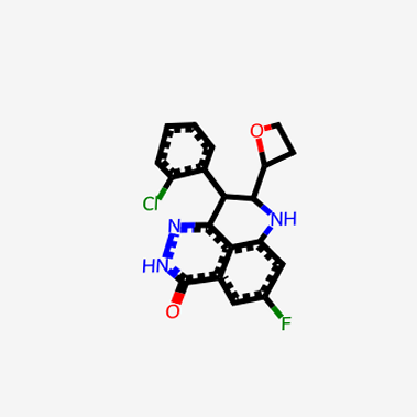 O=c1[nH]nc2c3c(cc(F)cc13)NC(C1CCO1)C2c1ccccc1Cl